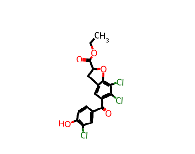 CCOC(=O)C1Cc2cc(C(=O)c3ccc(O)c(Cl)c3)c(Cl)c(Cl)c2O1